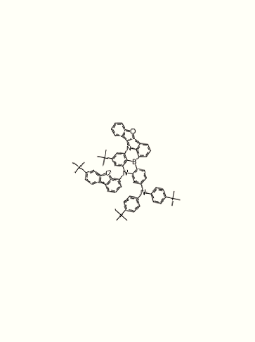 CC(C)(C)c1ccc(N(c2ccc(C(C)(C)C)cc2)c2ccc3c(c2)N(c2cccc4c2oc2cc(C(C)(C)C)ccc24)c2cc(C(C)(C)C)cc4c2B3c2cccc3c5oc6ccccc6c5n-4c23)cc1